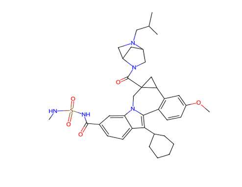 CNS(=O)(=O)NC(=O)c1ccc2c(C3CCCCC3)c3n(c2c1)CC1(C(=O)N2CC4CC2CN4CC(C)C)CC1c1cc(OC)ccc1-3